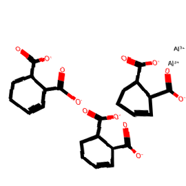 O=C([O-])C1C=CCCC1C(=O)[O-].O=C([O-])C1C=CCCC1C(=O)[O-].O=C([O-])C1C=CCCC1C(=O)[O-].[Al+3].[Al+3]